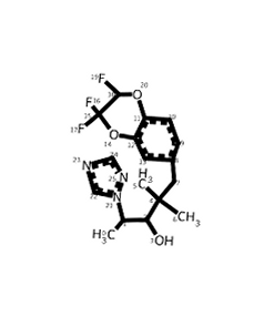 CC(C(O)C(C)(C)Cc1ccc2c(c1)OC(F)(F)C(F)O2)n1cncn1